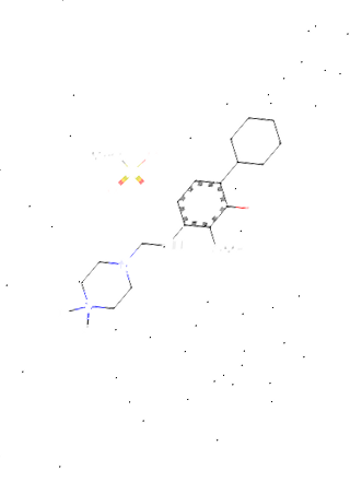 COS(=O)(=O)[O-].COc1c([SiH2]CN2CC[N+](C)(C)CC2)ccc(C2CCCCC2)c1O